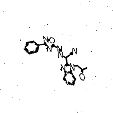 CC(=O)Cn1c(C(C#N)/N=N/c2nc(-c3ccccc3)no2)nc2ccccc21